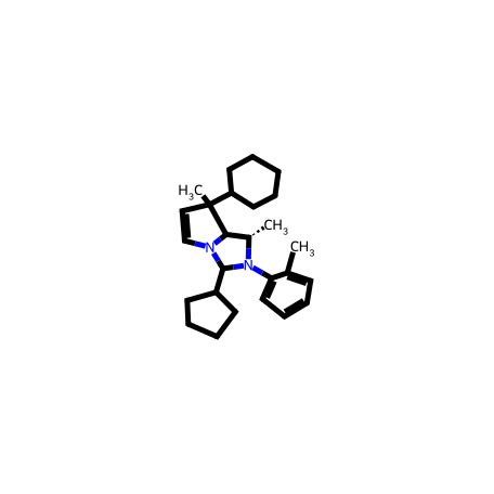 Cc1ccccc1N1C(C2CCCC2)N2C=CC(C)(C3CCCCC3)C2[C@@H]1C